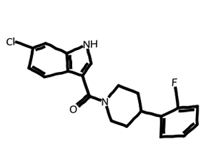 O=C(c1c[nH]c2cc(Cl)ccc12)N1CCC(c2ccccc2F)CC1